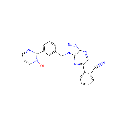 N#Cc1ccccc1-c1cnc2nnn(Cc3cccc(C4N=CC=CN4O)c3)c2n1